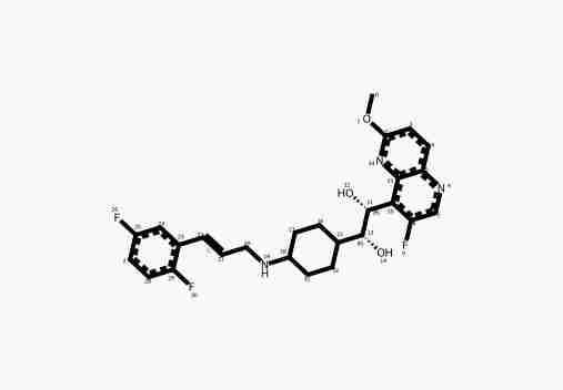 COc1ccc2ncc(F)c([C@@H](O)[C@H](O)C3CCC(NC/C=C/c4cc(F)ccc4F)CC3)c2n1